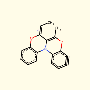 C/C=C1/Oc2ccccc2N2C1=C(C)Oc1c#cccc12